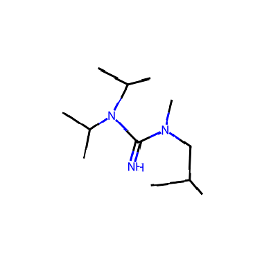 CC(C)CN(C)C(=N)N(C(C)C)C(C)C